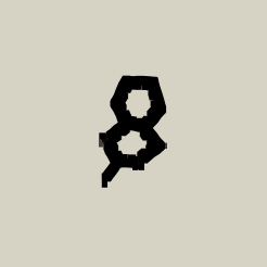 Ic1n[c]c2ccccc2n1